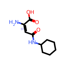 N/C(=C/C(=O)NC1CCCCC1)C(=O)O